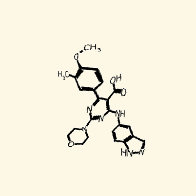 COc1ccc(-c2nc(N3CCOCC3)nc(Nc3ccc4[nH]ncc4c3)c2C(=O)O)cc1C